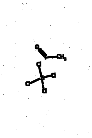 C[C]=O.[Cl][Zr]([Cl])([Cl])[Cl]